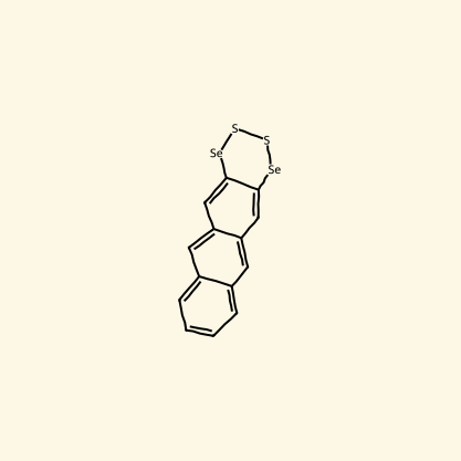 c1ccc2cc3cc4[se]ss[se]c4cc3cc2c1